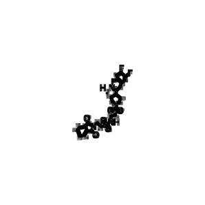 NC(Cc1cc(F)c(F)cc1F)C1CCN(S(=O)(=O)CCNS(=O)(=O)CCN2C(=O)c3ccccc3C2=O)CC1